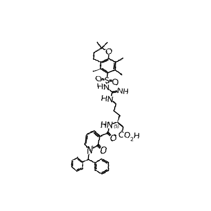 Cc1c(C)c(S(=O)(=O)NC(=N)NCCC[C@@H](CC(=O)O)NC(=O)c2cccn(C(c3ccccc3)c3ccccc3)c2=O)c(C)c2c1OC(C)(C)CC2